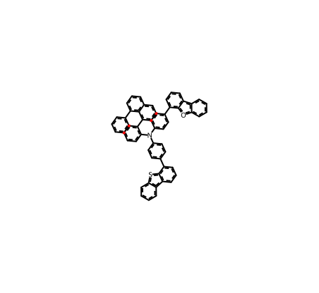 c1ccc(-c2cccc3cccc(-c4ccccc4N(c4ccc(-c5cccc6c5oc5ccccc56)cc4)c4ccc(-c5cccc6c5sc5ccccc56)cc4)c23)cc1